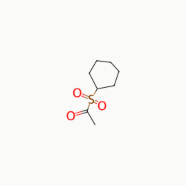 CC(=O)S(=O)(=O)C1CCCCC1